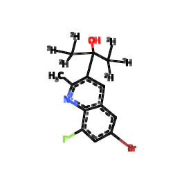 [2H]C([2H])([2H])C(O)(c1cc2cc(Br)cc(F)c2nc1C)C([2H])([2H])[2H]